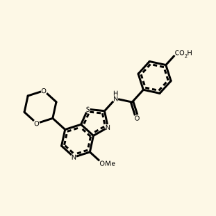 COc1ncc(C2COCCO2)c2sc(NC(=O)c3ccc(C(=O)O)cc3)nc12